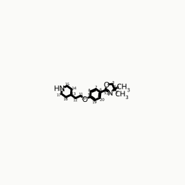 CC1(C)COC(c2ccc(OCCC3CCNCC3)cc2)=N1